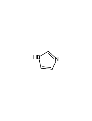 B1C=CN=C1